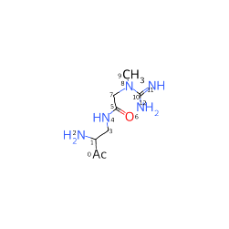 CC(=O)C(N)CNC(=O)CN(C)C(=N)N